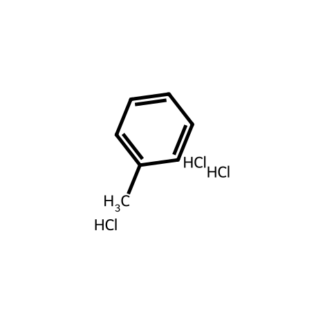 Cc1ccccc1.Cl.Cl.Cl